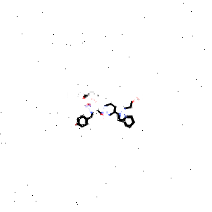 COCCCn1c(C2CCCN(C(=O)C[C@@H](Cc3ccc(Br)cc3)NC(=O)OC(C)(C)C)C2)cc2ccccc21